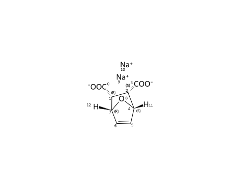 O=C([O-])[C@@H]1[C@H](C(=O)[O-])[C@@H]2C=C[C@H]1O2.[Na+].[Na+]